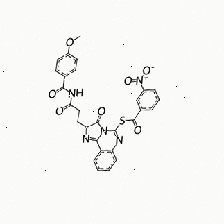 COc1ccc(C(=O)NC(=O)CCC2N=C3c4ccccc4N=C(SC(=O)c4cccc([N+](=O)[O-])c4)N3C2=O)cc1